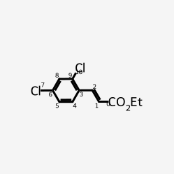 CCOC(=O)/C=C/c1ccc(Cl)cc1Cl